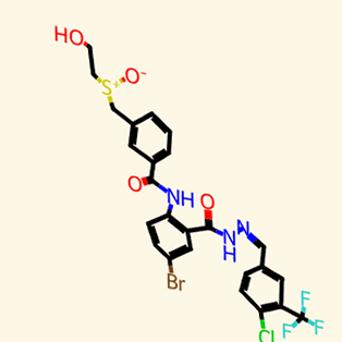 O=C(Nc1ccc(Br)cc1C(=O)N/N=C\c1ccc(Cl)c(C(F)(F)F)c1)c1cccc(C[S+]([O-])CCO)c1